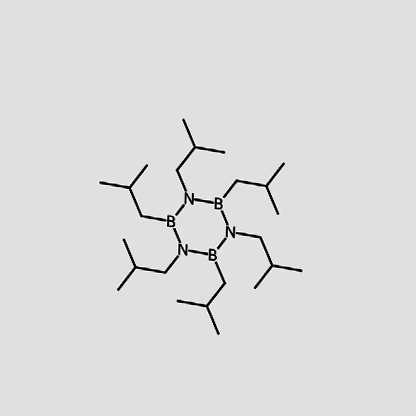 CC(C)CB1N(CC(C)C)B(CC(C)C)N(CC(C)C)B(CC(C)C)N1CC(C)C